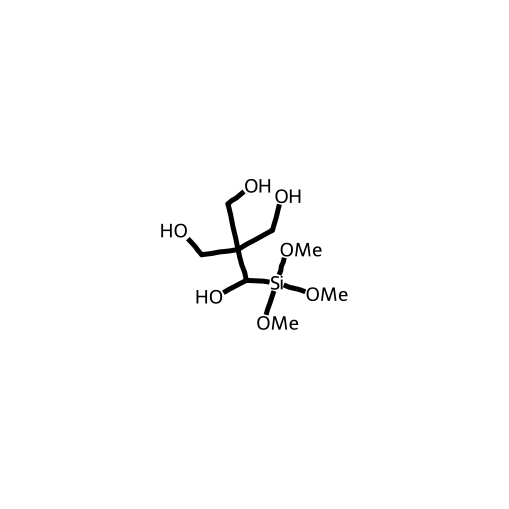 CO[Si](OC)(OC)C(O)C(CO)(CO)CO